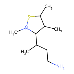 CC(CCN)C1C(C)C(C)SN1C